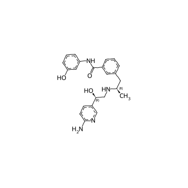 C[C@H](Cc1cccc(C(=O)Nc2cccc(O)c2)c1)NC[C@H](O)c1ccc(N)nc1